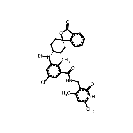 CCN(c1cc(Cl)cc(C(=O)NCc2c(C)cc(C)[nH]c2=O)c1C)[C@H]1CC[C@]2(CC1)OC(=O)c1ccccc12